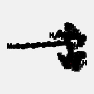 COCCOCCOCCOCCOCCOCCOCCOCCOCCCc1cc(NC(=O)[C@H](CCCNC(N)=O)NC(=O)[C@@H](NC(=O)OCC2c3ccccc3-c3ccccc32)C(C)C)ccc1C[N+]1(C)CCN(CCOc2ccc(-c3c(-c4ccc(F)cc4)sc4ncnc(O[C@H](Cc5ccccc5OCc5ccnc(-c6ccccc6OC)n5)C(=O)O)c34)c(C)c2Cl)CC1.O=C([O-])C(F)(F)F